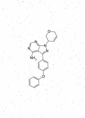 Nc1ncnc2c1c(-c1ccc(Oc3ccccc3)cc1)nn2C1C=CCOC1